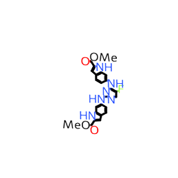 COC(=O)c1cc2ccc(Nc3ncc(F)c(Nc4ccc5cc(C(=O)OC)[nH]c5c4)n3)cc2[nH]1